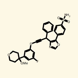 COC1(c2cc(F)cc(OC#CC(c3ccccc3)c3ncoc3-c3ccc(S(N)(=O)=O)cc3)c2)CCOCC1